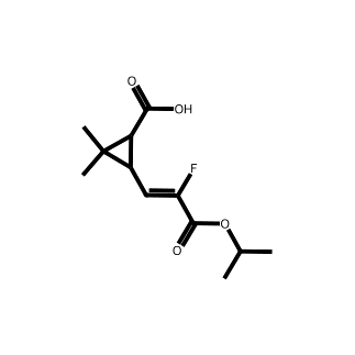 CC(C)OC(=O)/C(F)=C/C1C(C(=O)O)C1(C)C